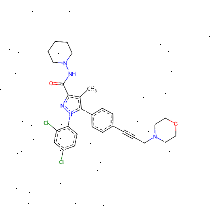 Cc1c(C(=O)NN2CCCCC2)nn(-c2ccc(Cl)cc2Cl)c1-c1ccc(C#CCN2CCOCC2)cc1